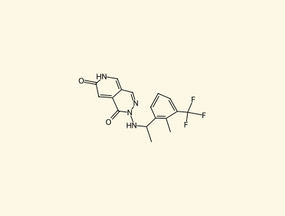 Cc1c(C(C)Nn2ncc3c[nH]c(=O)cc3c2=O)cccc1C(F)(F)F